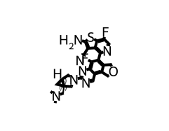 CN(C)C[C@@]12C[C@@H]1CN(c1ncc3c4c(c(-c5ncc(F)c6sc(N)c(C#N)c56)c(F)c3n1)COC4)C2